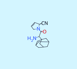 N#C[C@@H]1C=CCN1C(=O)C(N)C12CC3CC(CC(C3)C1)C2